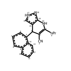 CCCC1=C(C#N)C(c2cccc3ccccc23)c2c[nH]nc2N1